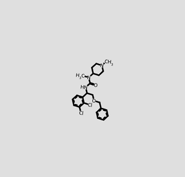 CN1CCC(N(C)C(=O)NC(COCc2ccccc2)c2cccc(Cl)c2Cl)CC1